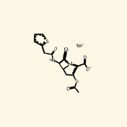 CC(=O)OC1=C(C(=O)[O-])N2C(=O)C(NC(=O)Cc3cccs3)C2C1.[Na+]